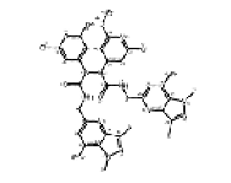 CCCc1cc(N(C(=O)NCc2cc(C(C)C)c3c(n2)c(C)nn3C)N(C(=O)NCc2cc(C(C)C)c3c(n2)c(C)nn3C)c2cc(Cl)nc(OCC)c2)cc(Cl)n1